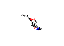 COCCCCC(C)(O)C[C@H]1CC[C@@H]2[C@H](CC[C@]3(C)[C@@H](C(=O)Cn4cnc5ccccc54)CC[C@@H]23)C1